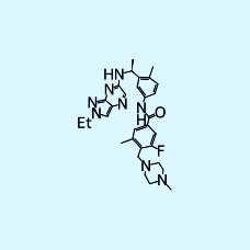 CCn1cc2ncc(N[C@@H](C)c3cc(NC(=O)c4cc(C)c(CN5CCN(C)CC5)c(F)c4)ccc3C)nc2n1